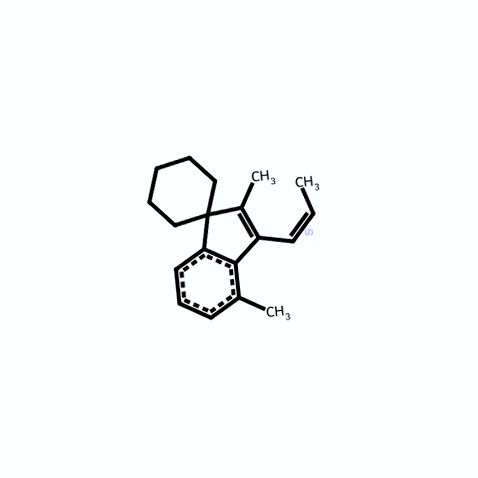 C/C=C\C1=C(C)C2(CCCCC2)c2cccc(C)c21